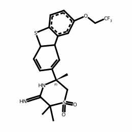 CC1(C)C(=N)N[C@](C)(C2=CC3c4cc(OCC(F)(F)F)ccc4SC3C=C2)CS1(=O)=O